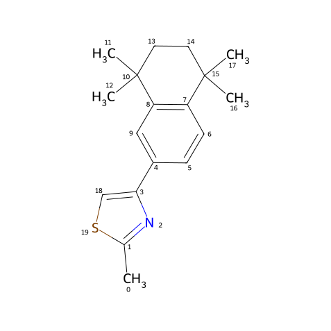 Cc1nc(-c2ccc3c(c2)C(C)(C)CCC3(C)C)cs1